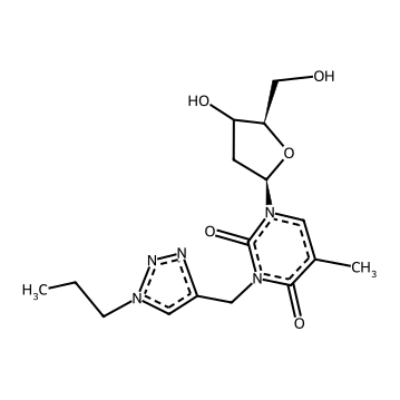 CCCn1cc(Cn2c(=O)c(C)cn([C@H]3CC(O)[C@@H](CO)O3)c2=O)nn1